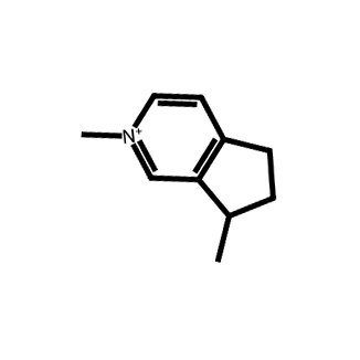 CC1CCc2cc[n+](C)cc21